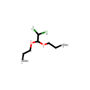 CCCCCCCCCCCCOC(OCCCCCCCCCCCC)C(Cl)Cl